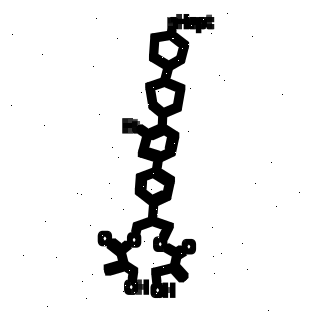 C=C(CO)C(=O)OCC(COC(=O)C(=C)CO)c1ccc(-c2ccc(C3CCC(C4CCC(CCCCCCC)CC4)CC3)c(CC)c2)cc1